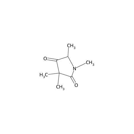 CC1C(=O)C(C)(C)C(=O)N1C